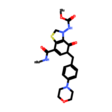 CCCCNC(=O)C1=CC(Cc2ccc(N3CCOCC3)cc2)C(=O)C2=C1SCN2NC(=O)OC(C)(C)C